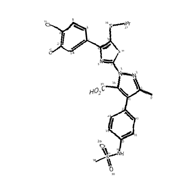 Cc1nn(-c2nc(-c3ccc(Cl)c(Cl)c3)c(SC(C)C)s2)c(C(=O)O)c1-c1ccc(NS(C)(=O)=O)cc1